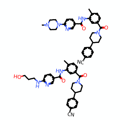 Cc1ccc(C(=O)N2CCC(c3ccc(C#N)cc3)CC2)cc1NC(=O)c1ccc(N2CCN(C)CC2)nc1.Cc1ccc(C(=O)N2CCC(c3ccc(C#N)cc3)CC2)cc1NC(=O)c1ccc(NCCCO)nc1